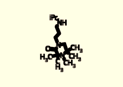 CC(C)NCCCN1CC(C)(C)N(C)C(C)(C)C1=O